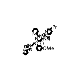 COc1ccccc1Oc1c(NS(=O)(=O)c2ccc(C(C)C)cn2)nc(-c2ccccn2)nc1OCCNS(=O)(=O)c1cccs1